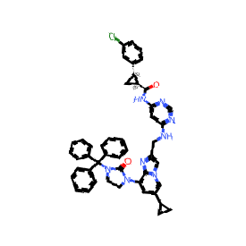 O=C(Nc1cc(NCc2cn3cc(C4CC4)cc(N4CCN(C(c5ccccc5)(c5ccccc5)c5ccccc5)C4=O)c3n2)ncn1)[C@H]1C[C@@H]1c1cccc(Cl)c1